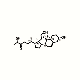 CC(S)C(=S)CC[C@@H](C)C1CCC([C@@H]2CC=C3C[C@@H](O)CC[C@@H]3C2=O)[C@]1(C)CCO